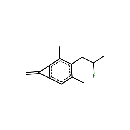 C=C1c2cc(C)c(CC(C)F)c(C)c21